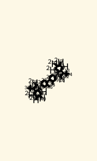 [2H]c1c([2H])c([2H])c2c(c1[2H])c(C(C)(C)C)c([2H])n2-c1ccc(-c2ccc(-n3c([2H])c(C(C)(C)C)c4c([2H])c([2H])c([2H])c([2H])c43)cc2C)c(C)c1